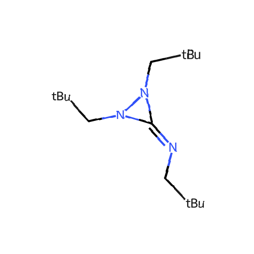 CC(C)(C)CN=C1N(CC(C)(C)C)N1CC(C)(C)C